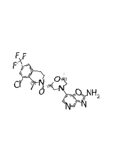 C[C@@H]1CN(c2cncc3nc(N)oc23)C[C@H](C(=O)N2CCc3cc(C(F)(F)F)cc(Cl)c3[C@@H]2C)O1